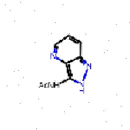 CC(=O)Nc1[nH]nc2cccnc12